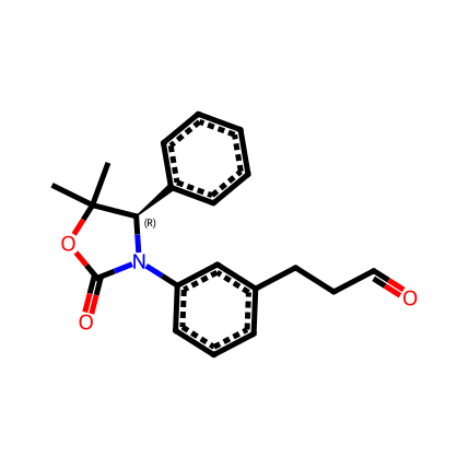 CC1(C)OC(=O)N(c2cccc(CCC=O)c2)[C@@H]1c1ccccc1